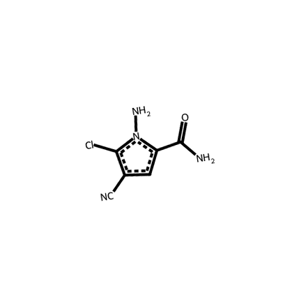 N#Cc1cc(C(N)=O)n(N)c1Cl